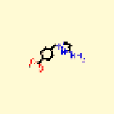 COC(=O)C1CCC(Cn2ccc(N)n2)CC1